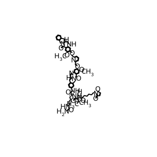 COc1cc2c(cc1OCc1cccc(COc3cc4c(cc3OC)C(=O)N3Cc5ccccc5C[C@H]3CN4)n1)N=C[C@@H]1Cc3ccc(NC(=O)[C@H](CCCCNC(N)=O)NC(=O)[C@@H](NC(=O)CCCCCN4C(=O)C=CC4=O)C(C)C)cc3CN1C2=O